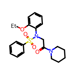 CCOc1ccccc1N(CC(=O)N1CCCCC1)S(=O)(=O)c1ccccc1